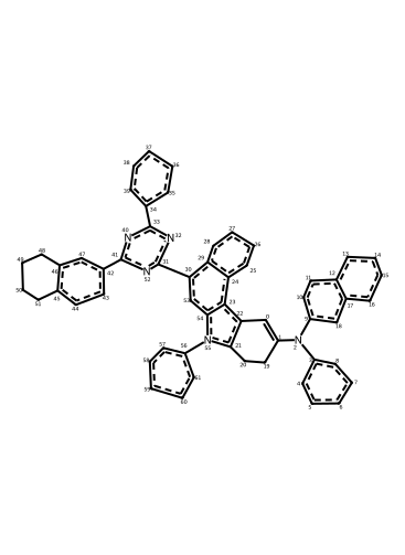 C1=C(N(c2ccccc2)c2ccc3ccccc3c2)CCc2c1c1c3ccccc3c(-c3nc(-c4ccccc4)nc(-c4ccc5c(c4)CCCC5)n3)cc1n2-c1ccccc1